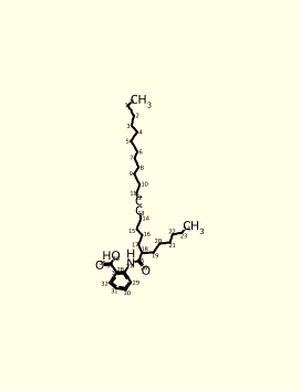 CCCCCCCCCCCCCCCCCCC(CCCCCC)C(=O)Nc1ccccc1C(=O)O